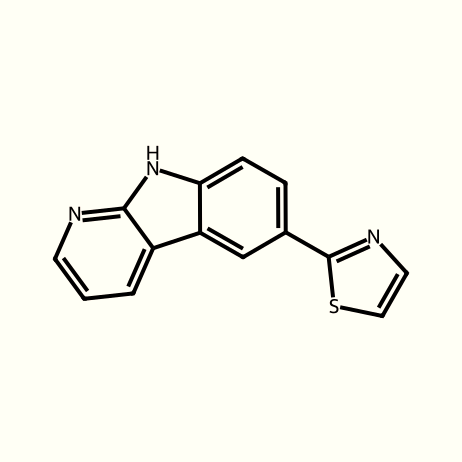 c1cnc2[nH]c3ccc(-c4nccs4)cc3c2c1